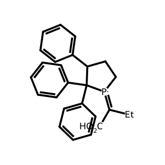 CCC(C(=O)O)=[P]1CCC(c2ccccc2)C1(c1ccccc1)c1ccccc1